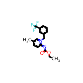 CCOC(=O)N=c1ccc(C)cn1Cc1cccc(C(F)(F)F)c1